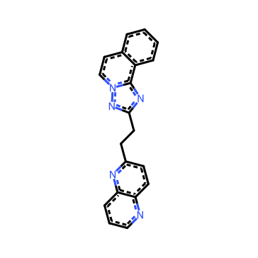 c1ccc2c(c1)ccn1nc(CCc3ccc4ncccc4n3)nc21